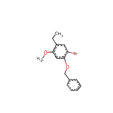 CCc1cc(Br)c(OCc2ccccc2)cc1OC